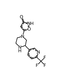 O=c1cc(N2CCNC(c3ccc(C(F)(F)F)nc3)C2)o[nH]1